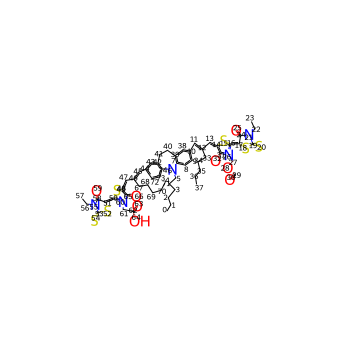 CCCCCCN1c2ccc(/C=C(/C=c3/s/c(=C4/SC(=S)N(CC)C4=O)n(COC=O)c3=O)CCCCC)cc2CCc2cc(/C=C(/C=c3/s/c(=C4/SC(=S)N(CC)C4=O)n(CC(=O)O)c3=O)CCCCC)ccc21